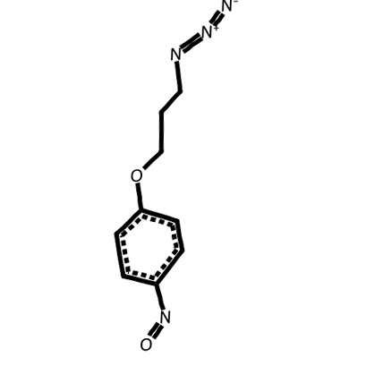 [N-]=[N+]=NCCCOc1ccc(N=O)cc1